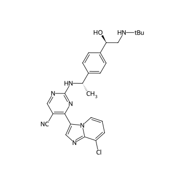 C[C@H](Nc1ncc(C#N)c(-c2cnc3c(Cl)cccn23)n1)c1ccc([C@@H](O)CNC(C)(C)C)cc1